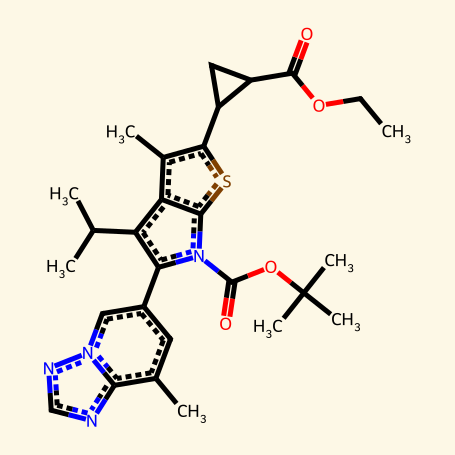 CCOC(=O)C1CC1c1sc2c(c1C)c(C(C)C)c(-c1cc(C)c3ncnn3c1)n2C(=O)OC(C)(C)C